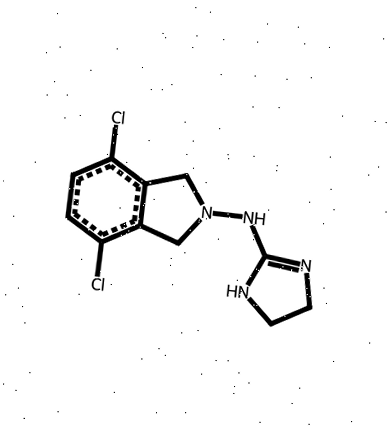 Clc1ccc(Cl)c2c1CN(NC1=NCCN1)C2